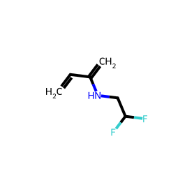 C=CC(=C)NCC(F)F